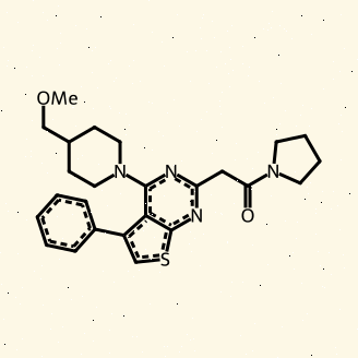 COCC1CCN(c2nc(CC(=O)N3CCCC3)nc3scc(-c4ccccc4)c23)CC1